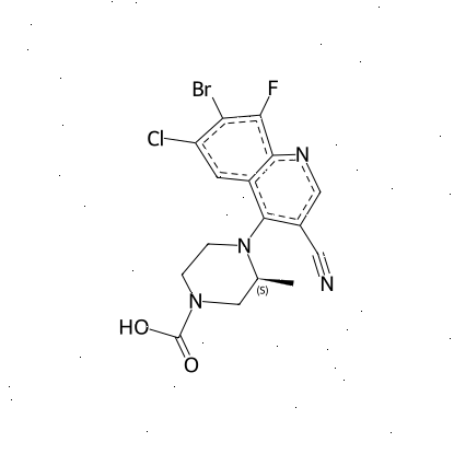 C[C@H]1CN(C(=O)O)CCN1c1c(C#N)cnc2c(F)c(Br)c(Cl)cc12